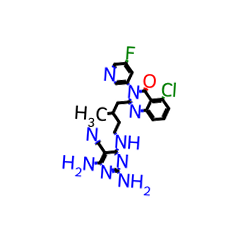 CC(CCNc1nc(N)nc(N)c1C#N)Cc1nc2cccc(Cl)c2c(=O)n1-c1cncc(F)c1